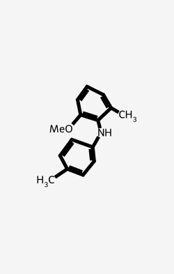 COc1cccc(C)c1Nc1ccc(C)cc1